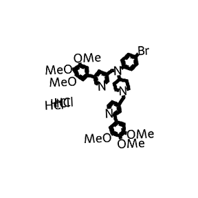 COc1cc(-c2cncc(CN(c3ccc(Br)cc3)C3CCN(Cc4ccnc(-c5cc(OC)c(OC)c(OC)c5)c4)CC3)c2)cc(OC)c1OC.Cl.Cl.Cl